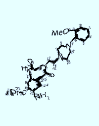 COc1ccccc1N1CCN(CCn2c(=O)[nH]c3cc(OC(C)C)c(N)cc3c2=O)CC1